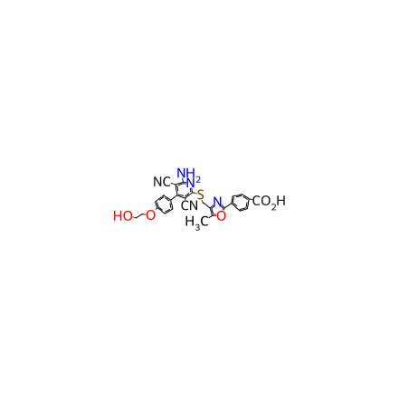 Cc1oc(-c2ccc(C(=O)O)cc2)nc1CSc1nc(N)c(C#N)c(-c2ccc(OCCO)cc2)c1C#N